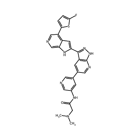 CN(C)CC(=O)Nc1cncc(-c2cnc3[nH]nc(-c4cc5c(-c6ccc(F)s6)cncc5[nH]4)c3c2)c1